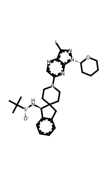 CC(C)(C)[S@@+]([O-])N[C@@H]1c2ccccc2CC12CCN(c1cnc3c(I)nn([C@H]4CCCCO4)c3n1)CC2